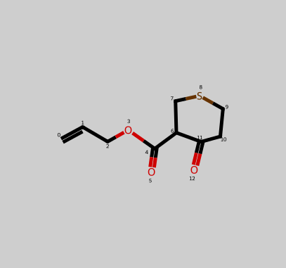 C=CCOC(=O)C1CSCCC1=O